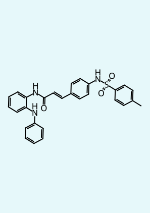 Cc1ccc(S(=O)(=O)Nc2ccc(C=CC(=O)Nc3ccccc3Nc3ccccc3)cc2)cc1